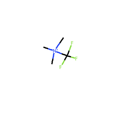 C[N+](C)(C)C(F)(F)F